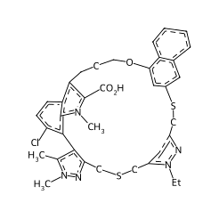 CCn1nc2cc1CSCc1nn(C)c(C)c1-c1c(Cl)ccc3c(c(C(=O)O)n(C)c13)CCCOc1cc(cc3ccccc13)SC2